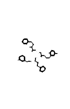 CC(CCc1ccc(O)cc1)NCCc1ccc(O)c(O)c1.OC(CNCC(O)C1CCc2cc(F)ccc2O1)C1CCc2cc(F)ccc2O1